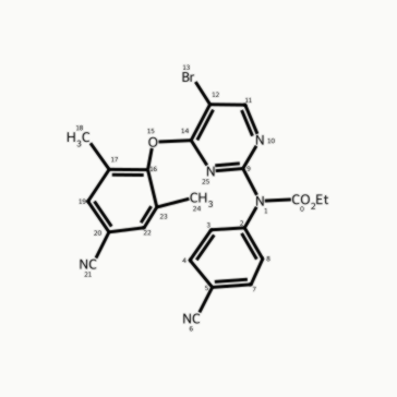 CCOC(=O)N(c1ccc(C#N)cc1)c1ncc(Br)c(Oc2c(C)cc(C#N)cc2C)n1